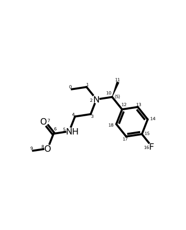 CCN(CCNC(=O)OC)[C@@H](C)c1ccc(F)cc1